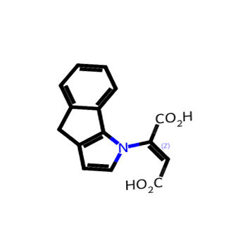 O=C(O)/C=C(/C(=O)O)n1ccc2c1-c1ccccc1C2